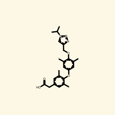 Cc1cc(Oc2c(C)cc(CC(=O)O)cc2I)cc(I)c1OCc1cn(C(C)C)nn1